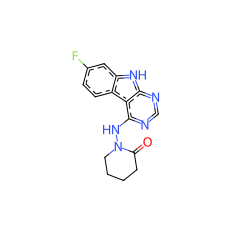 O=C1CCCCN1Nc1ncnc2[nH]c3cc(F)ccc3c12